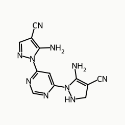 N#CC1=C(N)N(c2cc(-n3ncc(C#N)c3N)ncn2)NC1